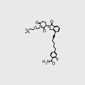 C[Si](C)(C)CCOCN1C(=O)CCC(N2Cc3c(C#CCCCCc4ccc(C(N)=O)c(F)c4)cccc3C2=O)C1=O